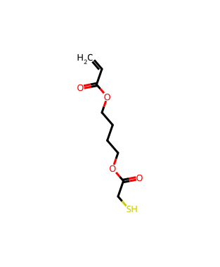 C=CC(=O)OCCCCOC(=O)CS